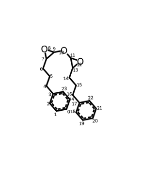 c1ccc(CCCC2OC2OC2OC2CCCc2ccccc2)cc1